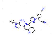 Cn1ncc(-c2cc3ncccc3c(-c3ccn([C@]4(CC#N)C[C@H](C#N)C4)n3)n2)c1N